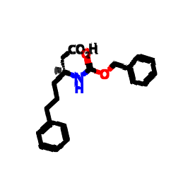 O=C(O)C[C@@H](CCCc1ccccc1)NC(=O)OCc1ccccc1